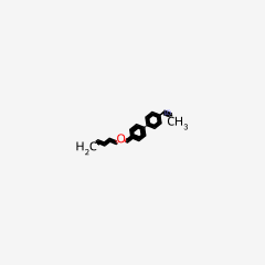 C=CCCCOCc1ccc([C@H]2CC[C@H](/C=C\C)CC2)cc1